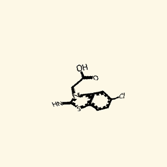 N=c1sc2ccc(Cl)cc2n1CC(=O)O